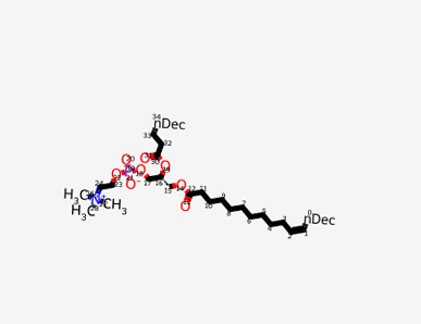 CCCCCCCCCC/C=C\CCCCCCCCCC(=O)OC[C@H](COP(=O)([O-])OCC[N+](C)(C)C)OC(=O)CCCCCCCCCCCC